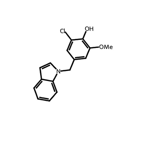 COc1cc(Cn2ccc3ccccc32)cc(Cl)c1O